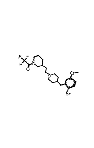 COc1ccc(Br)c(CC2CCN(CCC3CCCN(C(=O)C(F)(F)F)C3)CC2)c1